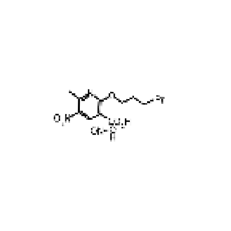 Cc1nc(OCCCC(C)C)c(C(=O)O)cc1[N+](=O)[O-].O=NO